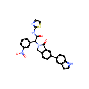 O=C(Nc1nccs1)C(c1cccc([N+](=O)[O-])c1)N1Cc2ccc(-c3ccc4[nH]ccc4c3)cc2C1=O